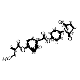 C=C(CO)C(=O)Oc1ccc(C(=O)Oc2ccc(N3C(=O)C=CC3=O)cc2)cc1